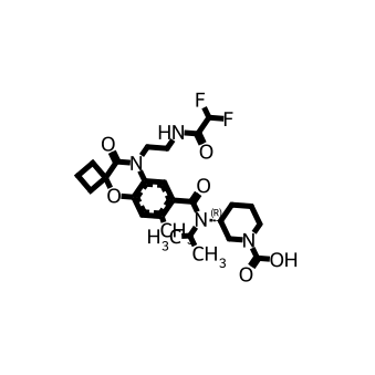 Cc1cc2c(cc1C(=O)N(C(C)C)[C@@H]1CCCN(C(=O)O)C1)N(CCNC(=O)C(F)F)C(=O)C1(CCC1)O2